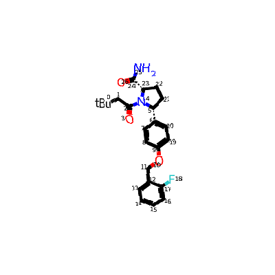 CC(C)(C)CC(=O)N1[C@@H](c2ccc(OCc3ccccc3F)cc2)CC[C@H]1C(N)=O